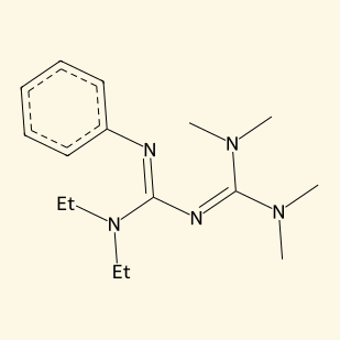 CCN(CC)C(N=C(N(C)C)N(C)C)=Nc1ccccc1